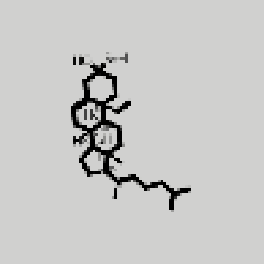 CC[C@]12CCC(O)([SeH])CC1=CC[C@@H]1[C@@H]2CC[C@]2(C)[C@@H]([C@H](C)CCCC(C)C)CC[C@@H]12